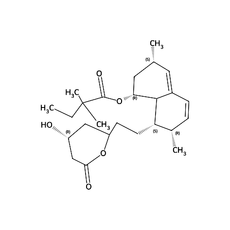 CCC(C)(C)C(=O)O[C@@H]1C[C@H](C)C=C2C=C[C@H](C)[C@H](CCC3C[C@@H](O)CC(=O)O3)C21